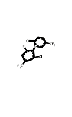 O=c1ccc(C(F)(F)F)cn1-c1c(F)cc(C(F)(F)F)cc1Cl